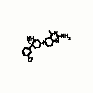 Cc1nc(N)nc2c1CN([C@H]1CC[C@](CN)(c3cccc(Cl)c3)CC1)CC2